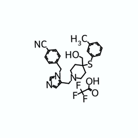 Cc1cccc(SC2(CO)CCN(Cc3cncn3Cc3ccc(C#N)cc3)CC2)c1.O=C(O)C(F)(F)F